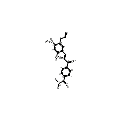 C=CCc1cc(C=CC(=O)c2ccc(C(=O)N(C)C)cc2)c(OC)cc1OC